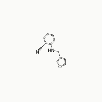 N#Cc1ccccc1NCc1ccoc1